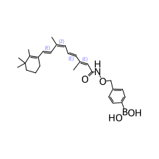 CC1=C(/C=C/C(C)=C\C=C\C(C)=C\C(=O)NOCc2ccc(B(O)O)cc2)CCCC1(C)C